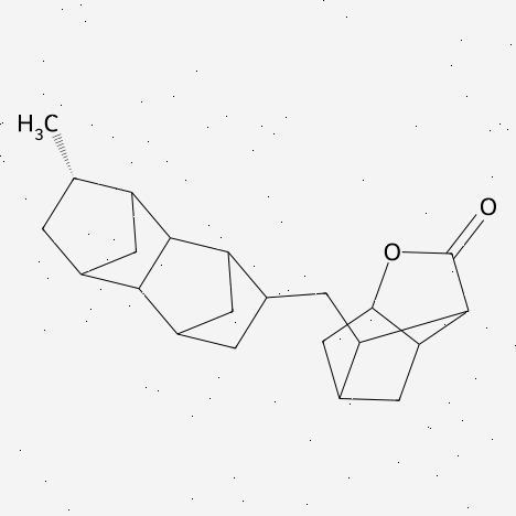 C[C@H]1CC2CC1C1C3CC(CC3CC3C4CC5OC(=O)C3C5C4)C21